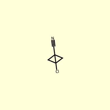 N#CC12CC1(Cl)C2